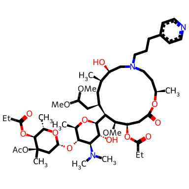 CCC(=O)O[C@@H]1CC(=O)O[C@H](C)CCN(CCCc2ccncc2)C[C@H](O)[C@H](C)C[C@H](CC(OC)OC)[C@H]([C@@H]2O[C@H](C)[C@@H](O[C@@H]3C[C@@](C)(OC(C)=O)[C@@H](OC(=O)CC)[C@H](C)O3)[C@H](N(C)C)[C@H]2O)[C@@H]1OC